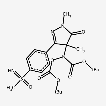 CN1N=C(c2ccc(S(C)(=N)=O)cc2)C(C)(N(OC(=O)OC(C)(C)C)C(=O)OC(C)(C)C)C1=O